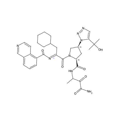 CC(NC(=O)[C@@H]1C[C@H](n2nncc2C(C)(C)O)CN1C(=O)/C(CC1CCCCC1)=N/C(=O)c1cccc2cnccc12)C(=O)C(N)=O